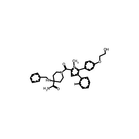 Cn1c(C(=O)N2CCC(NCc3ccccc3)(C(N)=O)CC2)cc(-c2ccccc2I)c1-c1ccc(OCCO)cc1